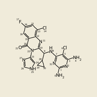 Nc1nc(N)c(Cl)c(NC(c2nc3c(Cl)cc(F)cc3c(=O)n2-c2c[nH]cn2)C2CC2)n1